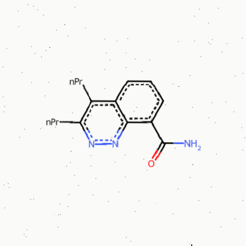 CCCc1nnc2c(C(N)=O)cccc2c1CCC